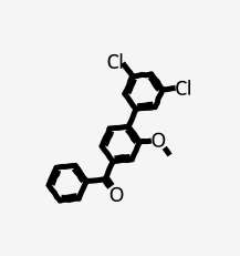 COc1cc(C(=O)c2ccccc2)ccc1-c1cc(Cl)cc(Cl)c1